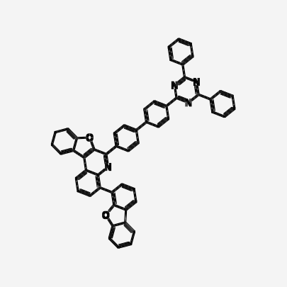 C1=c2oc3c(-c4ccc(-c5ccc(-c6nc(-c7ccccc7)nc(-c7ccccc7)n6)cc5)cc4)nc4c(-c5cccc6c5oc5ccccc56)cccc4c3c2=CCC1